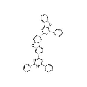 c1ccc(-c2nc(-c3ccccc3)nc(-c3ccc4c(c3)oc3ccc(-c5cc(-c6ccccc6)c6oc7ccccc7c6c5)cc34)n2)cc1